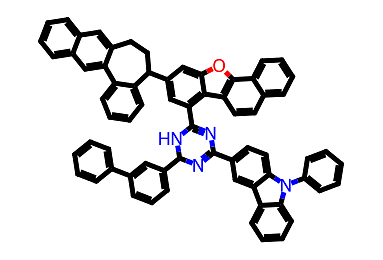 c1ccc(-c2cccc(C3N=C(c4ccc5c(c4)c4ccccc4n5-c4ccccc4)N=C(c4cc(C5CCc6cc7ccccc7cc6-c6ccccc65)cc5oc6c7ccccc7ccc6c45)N3)c2)cc1